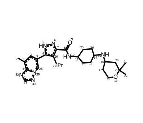 Cc1cc(-c2[nH]nc(C(=O)NC3CCC(NC4CCOC(C)(C)C4)CC3)c2C(C)C)cn2ncnc12